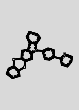 c1ccc(-c2ccc(-n3c4ccccc4c4cc5c(cc43)Oc3ccccc3O5)cc2)nc1